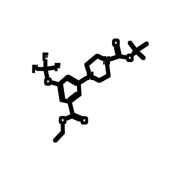 CCOC(=O)c1cc(OC(F)(F)F)cc(N2CCN(C(=O)OC(C)(C)C)CC2)c1